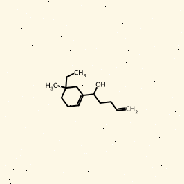 C=CCCC(O)C1=CCCC(C)(CC)C1